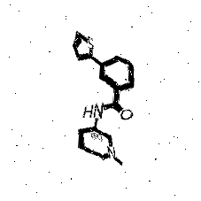 CN1CCC[C@@H](NC(=O)c2cccc(-c3cccs3)c2)C1